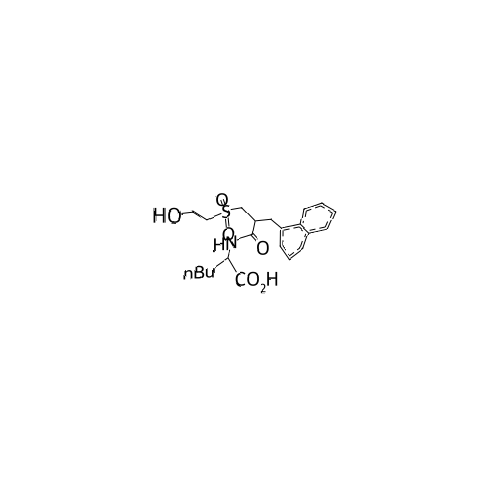 CCCCC(NC(=O)C(Cc1cccc2ccccc12)CS(=O)(=O)CCO)C(=O)O